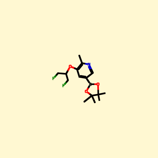 Cc1ncc(B2OC(C)(C)C(C)(C)O2)cc1OC(CF)CF